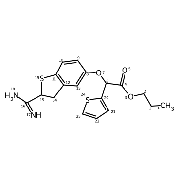 CCCOC(=O)C(Oc1ccc2c(c1)CC(C(=N)N)S2)c1cccs1